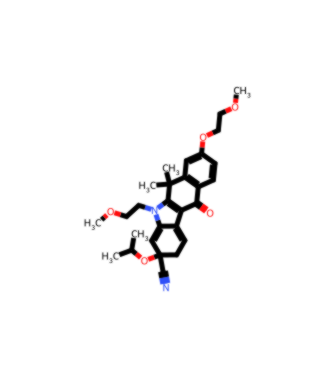 COCCOc1ccc2c(c1)C(C)(C)c1c(c3c(n1CCOC)=CC(C#N)(OC(C)C)CC=3)C2=O